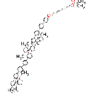 C=C(C)C(=O)OCCCCCCCCCCOc1ccc(-c2ccc(-c3ccc4c(c3)C3(c5cc(-c6ccc7c(c6)C6(c8cc(-c9ccc(-c%10ccc(-c%11ccc%12c(c%11)C%11(c%13cc(C)ccc%13-%12)C%12(CCC)CCCC%11(CCC)CCC%12)cc%10)cc9)ccc8-7)C7(CC)CCC6(CC)CC7)ccc5-4)C4(C)CCC3(C)CC4)cc2)cc1